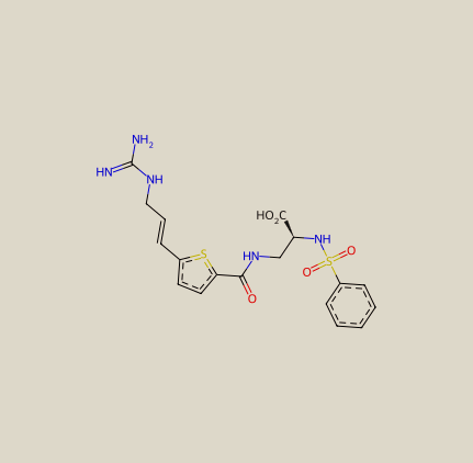 N=C(N)NCC=Cc1ccc(C(=O)NC[C@H](NS(=O)(=O)c2ccccc2)C(=O)O)s1